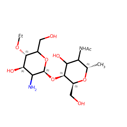 CCO[C@@H]1C(CO)O[C@@H](O[C@H]2C(O)C(NC(C)=O)[C@H](C)O[C@H]2CO)C(N)[C@H]1O